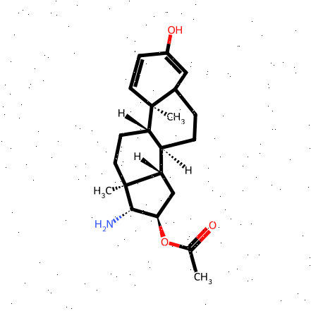 CC(=O)O[C@@H]1C[C@H]2[C@@H]3CCC4C=C(O)C=C[C@]4(C)[C@H]3CC[C@]2(C)[C@H]1N